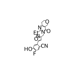 CCc1nc2c(c(=O)n1Cc1cc(-c3cc(O)c(F)cc3C#N)on1)COCC2